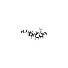 Cc1ccc(-c2ccc3c(c2)NC(=O)C3)o1